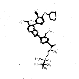 COc1cc(C(=O)N(C)CCO[Si](C)(C)C(C)(C)C)cnc1-c1cc2ncc(C(C)C)c(-c3ccc(OC4CCOCC4)c(C#N)c3)c2o1